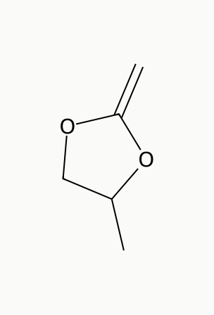 C=C1OCC(C)O1